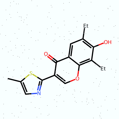 CCc1cc2c(=O)c(-c3ncc(C)s3)coc2c(CC)c1O